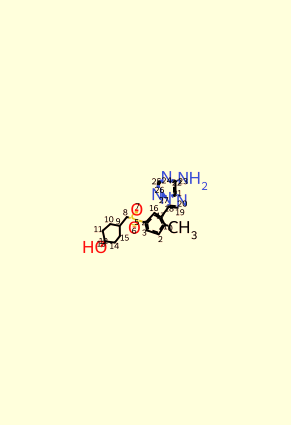 Cc1ccc(S(=O)(=O)CC2CCC(O)CC2)cc1-c1cnc2c(N)ncnn12